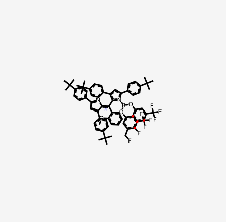 COc1ccccc1/C(=C1/N=C(c2ccc(C(C)(C)C)cc2)C=C1c1ccc(C(C)(C)C)cc1)c1c(-c2ccc(C(C)(C)C)cc2)cc(-c2ccc(C(C)(C)C)cc2)n1B(Oc1cc(CF)cc(C(F)(F)F)c1)Oc1cc(CF)cc(C(F)(F)F)c1